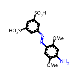 COc1cc(N=Nc2cc(S(=O)(=O)O)cc(S(=O)(=O)O)c2)c(OC)cc1N